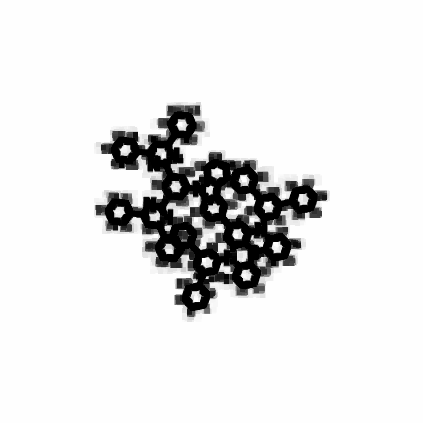 c1ccc(-c2cc(-c3ccccc3)cc(N3c4ccccc4B4c5ccccc5N(c5cc(-c6ccccc6)cc(-c6ccccc6)c5)c5cc(-c6ccc7c(c6)c6ccccc6n7-c6cc(-c7nc(-c8ccccc8)cc(-c8ccccc8)n7)cc(-c7nc(-c8ccccc8)cc(-c8ccccc8)n7)c6)cc3c54)c2)cc1